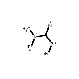 CCC(SC(C)C)N(C)C(C)C